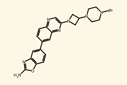 CC(C)N1CCN(C2CN(c3cnc4ccc(-c5ccc6oc(N)nc6c5)cc4n3)C2)CC1